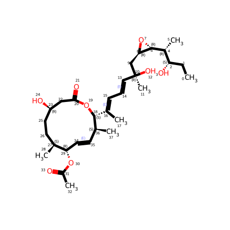 CC[C@H](O)[C@@H](C)[C@H]1O[C@@H]1C[C@@](C)(O)/C=C/C=C(\C)[C@H]1OC(=O)C[C@H](O)CC[C@H](C)[C@@H](OC(C)=O)/C=C/[C@@H]1C